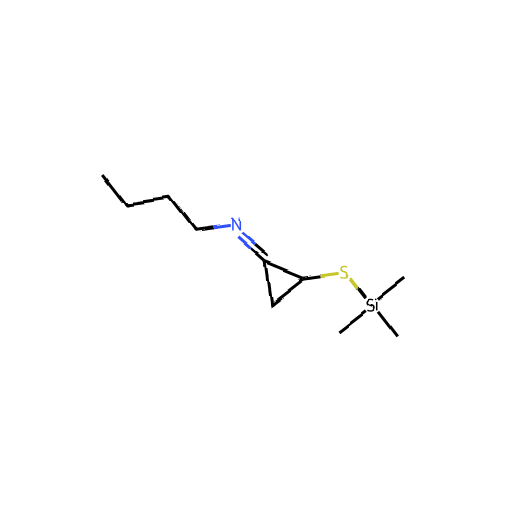 CCCC/N=C1\CC1S[Si](C)(C)C